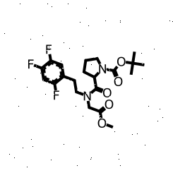 COC(=O)CN(CCc1cc(F)c(F)cc1F)C(=O)C1CCCN1C(=O)OC(C)(C)C